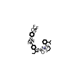 CCC(CNC(=O)/N=C1\SCCCN1c1ccccc1C(C)C)c1ccc(-c2ncn(-c3ccc(OC(F)(F)F)cc3)n2)cc1